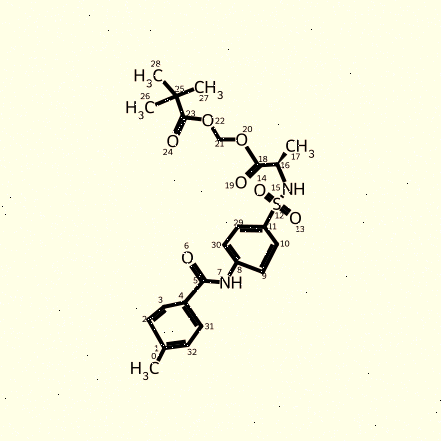 Cc1ccc(C(=O)Nc2ccc(S(=O)(=O)N[C@H](C)C(=O)OCOC(=O)C(C)(C)C)cc2)cc1